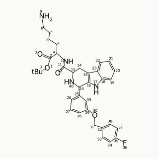 CC(C)(C)OC(=O)C(CCCCN)NC(=O)C1Cc2c([nH]c3ccccc23)C(c2cccc(OCc3ccc(F)cc3)c2)N1